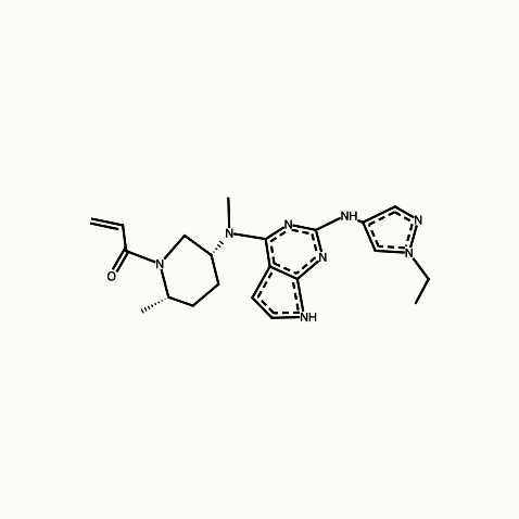 C=CC(=O)N1C[C@H](N(C)c2nc(Nc3cnn(CC)c3)nc3[nH]ccc23)CC[C@@H]1C